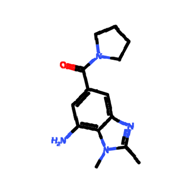 Cc1nc2cc(C(=O)N3CCCC3)cc(N)c2n1C